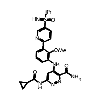 COc1c(Nc2cc(NC(=O)C3CC3)nnc2C(N)=O)cccc1-c1ccc(S(=N)(=O)C(C)C)cn1